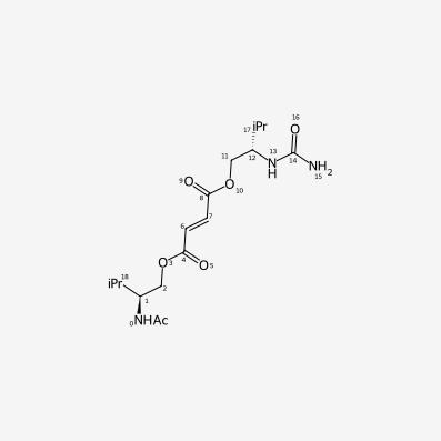 CC(=O)N[C@H](COC(=O)/C=C/C(=O)OC[C@@H](NC(N)=O)C(C)C)C(C)C